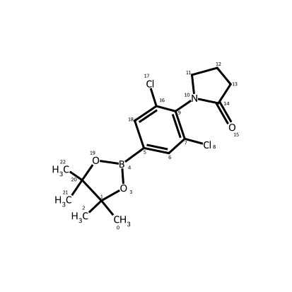 CC1(C)OB(c2cc(Cl)c(N3CCCC3=O)c(Cl)c2)OC1(C)C